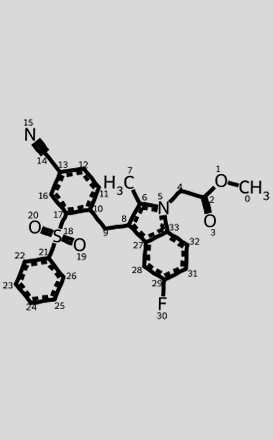 COC(=O)Cn1c(C)c(Cc2ccc(C#N)cc2S(=O)(=O)c2ccccc2)c2cc(F)ccc21